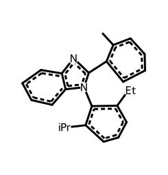 CCc1cccc(C(C)C)c1-n1c(-c2ccccc2C)nc2ccccc21